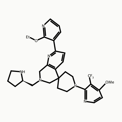 CCOc1ncccc1-c1ccc2c(n1)CN(C[C@H]1CCCN1)CC21CCN(c2nccc(OC)c2C(F)(F)F)CC1